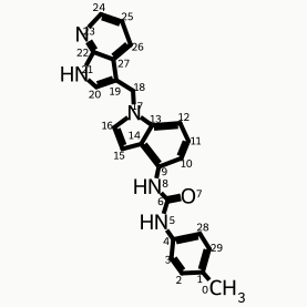 Cc1ccc(NC(=O)Nc2cccc3c2ccn3Cc2c[nH]c3ncccc23)cc1